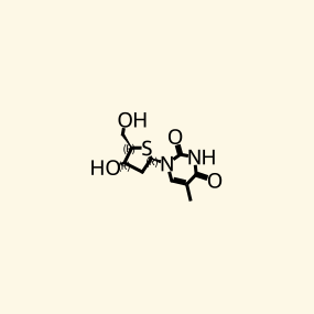 Cc1cn([C@H]2C[C@@H](O)[C@@H](CO)S2)c(=O)[nH]c1=O